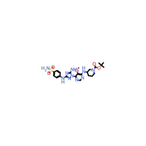 COc1c(NC2CCCN(C(=O)OC(C)(C)C)C2)ncnc1-n1nc(Nc2ccc(S(N)(=O)=O)cc2)nc1N